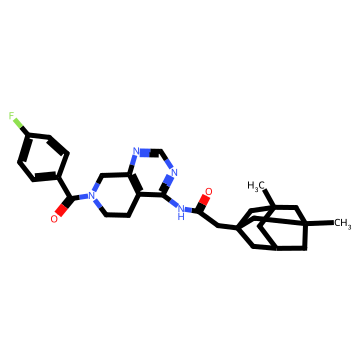 CC12CC3CC(C)(C1)CC(CC(=O)Nc1ncnc4c1CCN(C(=O)c1ccc(F)cc1)C4)(C3)C2